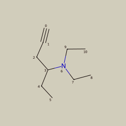 C#CCC(CC)N(CC)CC